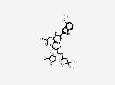 COc1cccc2[nH]c(C(=O)N[C@@H](CC(C)C)C(=O)N[C@@H](C[C@@H]3CCNC3=O)C(=O)COC(=O)OC(C)(C)C)cc12